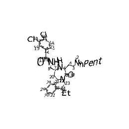 CCCCCN(C)CC[C@@H]1N[C@H](CNC(=O)c2ccc(Cl)c(Cl)c2)CCN(CC(CC)c2ccccc2)C1=O